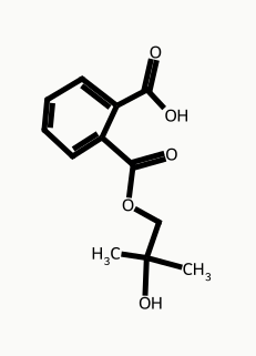 CC(C)(O)COC(=O)c1ccccc1C(=O)O